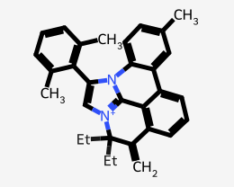 C=C1c2cccc3c4cc(C)ccc4n4c(-c5c(C)cccc5C)c[n+](c4c23)C1(CC)CC